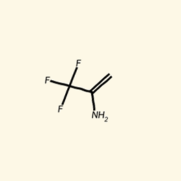 C=C(N)C(F)(F)F